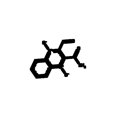 NC(=O)c1c(C=O)[n+]([O-])c2ccccc2[n+]1[O-]